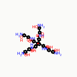 Nc1ccc(-c2ccc(NC(=O)c3ccc(C45CC6(c7ccc(C(=O)Nc8ccc(-c9ccc(N)c(O)c9)cc8O)cc7)CC(c7ccc(C(=O)Nc8ccc(-c9ccc(N)c(O)c9)cc8O)cc7)(C4)CC(c4ccc(C(=O)Nc7ccc(-c8ccc(N)c(O)c8)cc7O)cc4)(C5)C6)cc3)c(O)c2)cc1O